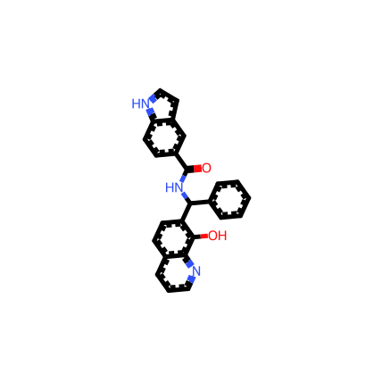 O=C(NC(c1ccccc1)c1ccc2cccnc2c1O)c1ccc2[nH]ccc2c1